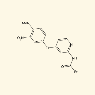 CCC(=O)Nc1cc(Oc2ccc(NC)c([N+](=O)[O-])c2)ccn1